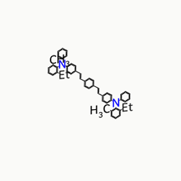 CCc1cccc(C)c1N(c1ccccc1)c1ccc(C=Cc2ccc(C=Cc3ccc(N(c4ccccc4)c4c(C)cccc4CC)cc3)cc2)cc1